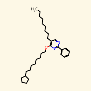 CCCCCCCCCc1cnc(-c2ccccc2)nc1OCCCCCCCCC1CCCC1